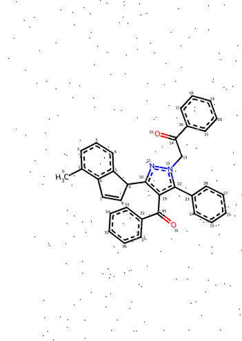 Cc1cccc2c1C=CC2c1nn(CC(=O)c2ccccc2)c(-c2ccccc2)c1C(=O)c1ccccc1